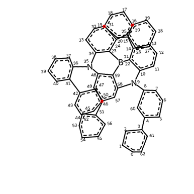 c1ccc(-c2cccc(N3c4cccc(-c5ccccc5)c4B4c5c(-c6ccccc6)cccc5N(c5ccccc5-c5ccccc5)c5cc(-c6ccccc6)cc3c54)c2)cc1